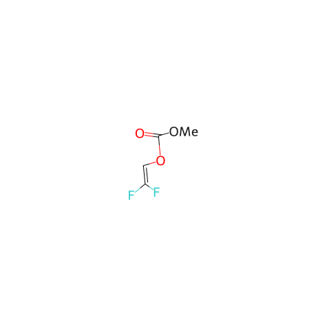 COC(=O)OC=C(F)F